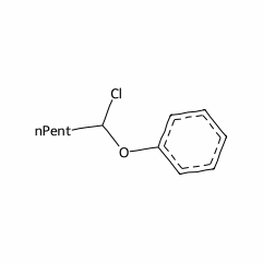 CCCCCC(Cl)Oc1ccccc1